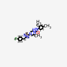 Cc1ccc(NC(=O)N2CCN(c3nc(Cc4ccc(F)cc4)ns3)CC2C)c(C)c1